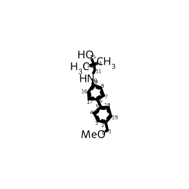 COCc1ccc(-c2ccc(NCC(C)(C)O)cc2)cc1